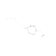 CCC(=O)Cc1ccc(OCCNC(C)C)cc1